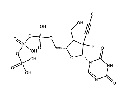 O=c1ncn([C@@H]2O[C@H](COP(=O)(O)OP(=O)(O)OP(=O)(O)O)C(CO)C2(F)C#CCl)c(=O)[nH]1